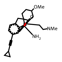 CNCCN1C(=O)C2(N=C1N)c1cc(C#CC3CC3)ccc1CC21CCC(OC)CC1